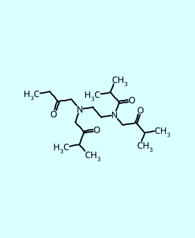 CCC(=O)CN(CCN(CC(=O)C(C)C)C(=O)C(C)C)CC(=O)C(C)C